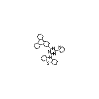 c1ccc(-c2nc(-c3ccc4c5ccccc5c5ccccc5c4c3)nc(N3c4ccccc4Sc4ccccc43)n2)nc1